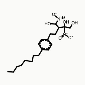 CCCCCCCCc1ccc(CCC(C(O)[N+](=O)[O-])C(O)(CO)[N+](=O)[O-])cc1